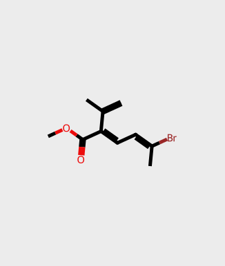 C=C(C)/C(=C\C=C(/C)Br)C(=O)OC